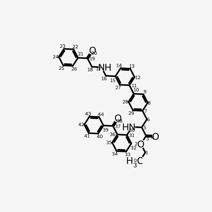 CCOC(=O)C(Cc1ccc(-c2cccc(CNCC(=O)c3ccccc3)c2)cc1)Nc1ccccc1C(=O)c1ccccc1